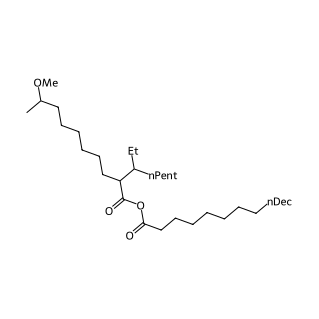 CCCCCCCCCCCCCCCCCC(=O)OC(=O)C(CCCCCCC(C)OC)C(CC)CCCCC